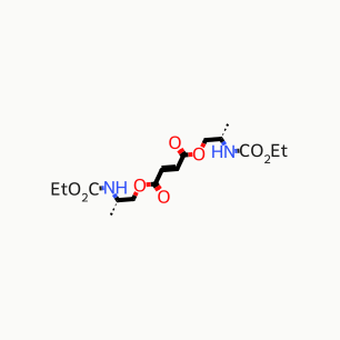 CCOC(=O)N[C@@H](C)COC(=O)/C=C/C(=O)OC[C@H](C)NC(=O)OCC